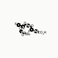 CC(C)(C)OC(=O)N1CCC(Oc2ncc(C(=O)N3CCN(C(=O)c4cc(F)cc(N5CCN(C(=O)O)CC5)c4)CC3)cc2-c2ccc(F)cc2)C1